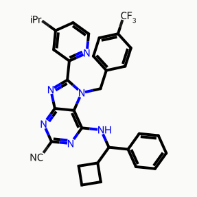 CC(C)c1ccnc(-c2nc3nc(C#N)nc(NC(c4ccccc4)C4CCC4)c3n2Cc2ccc(C(F)(F)F)cc2)c1